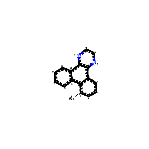 CC[C@@H](C)c1cccc2c3nccnc3c3ccccc3c12